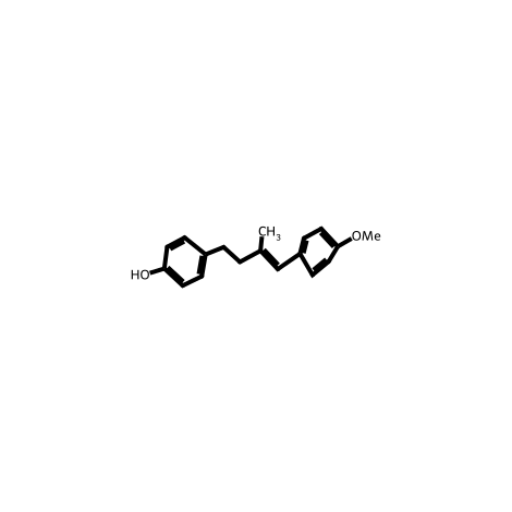 COc1ccc(/C=C(\C)CCc2ccc(O)cc2)cc1